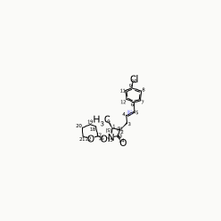 C[C@H]1[C@@H](C/C=C/c2ccc(Cl)cc2)C(=O)N1OC1CCCCO1